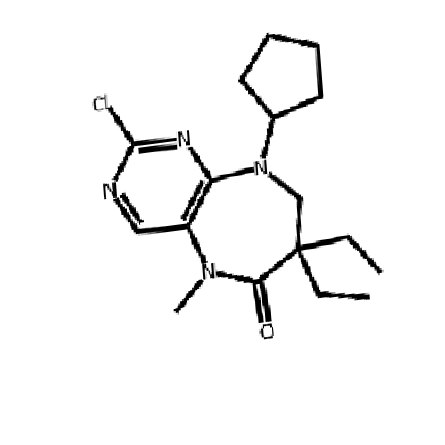 CCC1(CC)CN(C2CCCC2)c2nc(Cl)ncc2N(C)C1=O